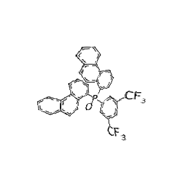 O=P(c1cc(C(F)(F)F)cc(C(F)(F)F)c1)(c1cccc2c1ccc1ccccc12)c1cccc2c1ccc1ccccc12